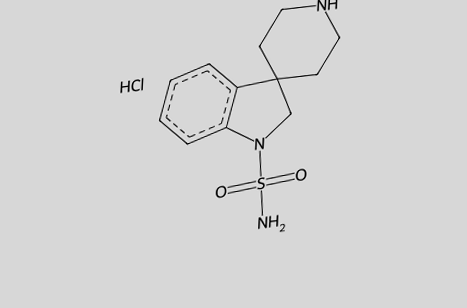 Cl.NS(=O)(=O)N1CC2(CCNCC2)c2ccccc21